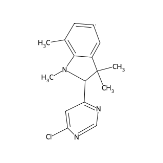 Cc1c[c]cc2c1N(C)C(c1cc(Cl)ncn1)C2(C)C